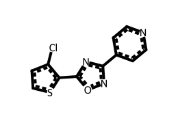 Clc1ccsc1-c1nc(-c2ccncc2)no1